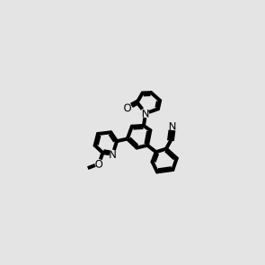 COc1cccc(-c2cc(-c3ccccc3C#N)cc(-n3ccccc3=O)c2)n1